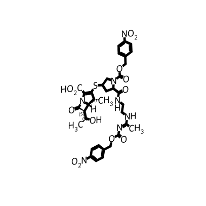 CC(=NC(=O)OCc1ccc([N+](=O)[O-])cc1)NCCNC(=O)C1CC(SC2=C(C(=O)O)N3C(=O)[C@H]([C@@H](C)O)[C@H]3[C@H]2C)CN1C(=O)OCc1ccc([N+](=O)[O-])cc1